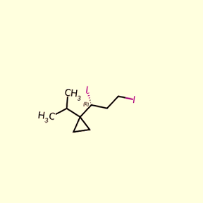 CC(C)C1([C@H](I)CCI)CC1